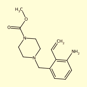 C=Cc1c(N)cccc1CN1CCN(C(=O)OC)CC1